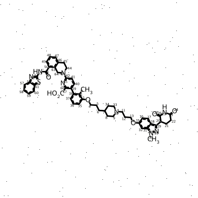 Cc1c(OCCCC2CCN(CCCOc3ccc4c(C5CCC(=O)NC5=O)nn(C)c4c3)CC2)cccc1-c1ccc(N2CCc3cccc(C(=O)Nc4nc5ccccc5s4)c3C2)nc1C(=O)O